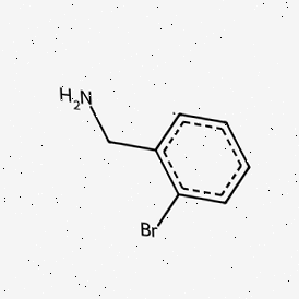 NCc1[c]cccc1Br